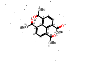 CC(C)COC(=O)c1ccc(C(=O)OCC(C)C)c2c(C(=O)OCC(C)C)ccc(C(=O)OCC(C)C)c12